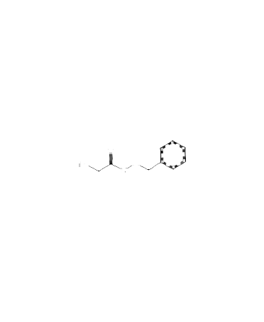 CC(C)CC(=O)NOCc1ccccc1